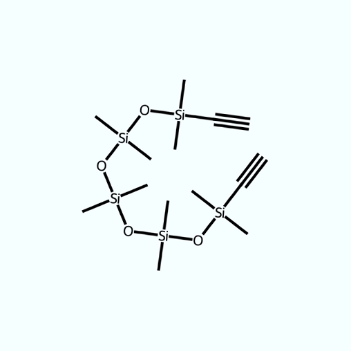 C#C[Si](C)(C)O[Si](C)(C)O[Si](C)(C)O[Si](C)(C)O[Si](C)(C)C#C